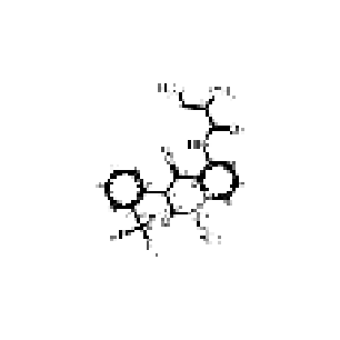 CCC(C)C(=O)Nc1cccnc1C(=O)C(C(=O)OC)c1ccccc1C(F)(F)F